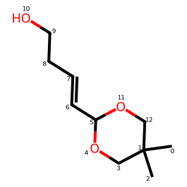 CC1(C)COC(C=CCCO)OC1